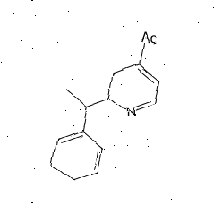 CC(=O)C1=CC=NC(C(C)C2=CCCC=C2)C1